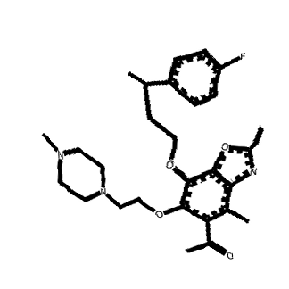 CC(=O)c1c(OCCN2CCN(C)CC2)c(OCCC(C)c2ccc(F)cc2)c2oc(C)nc2c1C